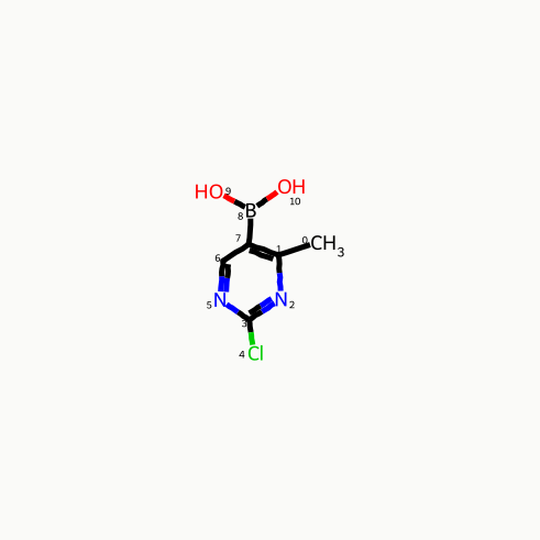 Cc1nc(Cl)ncc1B(O)O